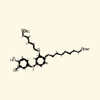 CCCCCCCCCCCCCCCCCCc1ccc(Sc2ccc(O)c(Cl)c2)cc1OCCCCCCCCCCCCCCC